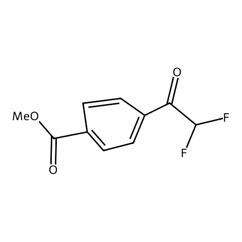 COC(=O)c1ccc(C(=O)C(F)F)cc1